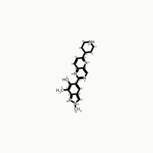 Cc1c(O)c(-c2ncc3nc(C4CCNCC4)ccc3n2)cc2cn(C)nc12